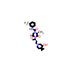 C[C@H]1C(=O)N2[C@@H](CCN3CCC4(CC4)[C@H](O)C3)CO[C@@H]2CN1C(=O)Nc1cccc(C(F)(F)F)c1